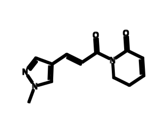 Cn1cc(C=CC(=O)N2CCC=CC2=O)cn1